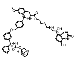 COc1ccc(CC(NC(=O)c2ccc(COc3cccc([C@@H](NC(=O)O[C@H]4CN5CCC4CC5)c4ccccc4)c3)cc2)C(=O)OCCCCNC[C@H](O)c2ccc(O)c3[nH]c(=O)ccc23)cc1